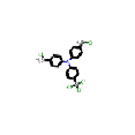 Cl[SiH2]c1ccc(N(c2ccc([SiH2]Cl)cc2)c2ccc([Si](Cl)(Cl)Cl)cc2)cc1